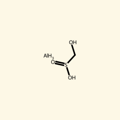 O=S(O)CO.[AlH3]